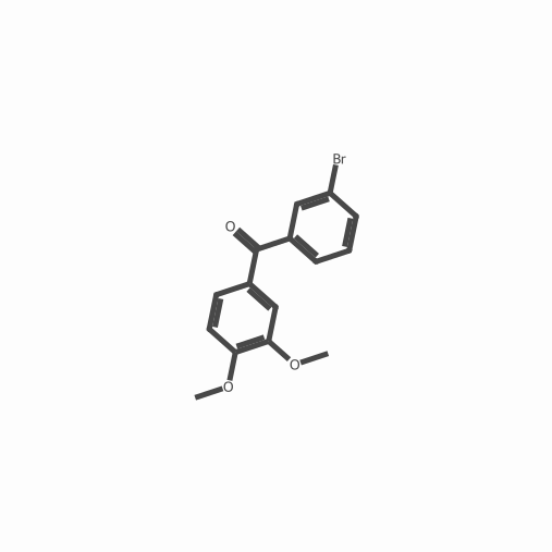 COc1ccc(C(=O)c2cccc(Br)c2)cc1OC